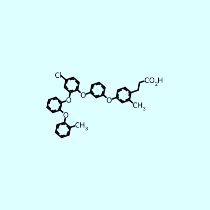 Cc1cc(Oc2cccc(Oc3ccc(Cl)cc3Oc3ccccc3Oc3ccccc3C)c2)ccc1CCC(=O)O